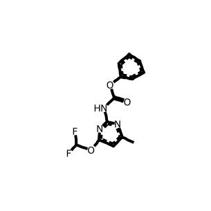 Cc1cc(OC(F)F)nc(NC(=O)Oc2ccccc2)n1